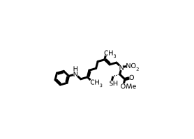 COC(=O)[C@H](CS)N(CC=C(C)CCC=C(C)CNc1ccccc1)[N+](=O)[O-]